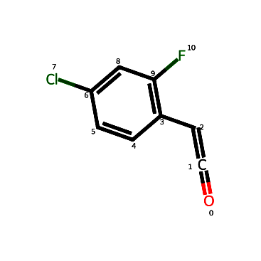 O=C=Cc1ccc(Cl)cc1F